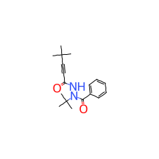 CC(C)(C)C#CC(=O)NN(C(=O)c1ccccc1)C(C)(C)C